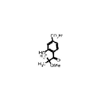 CCOC(=O)c1ccc(C(=O)C(C)(C)OC)c(O)c1